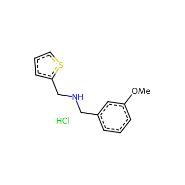 COc1cccc(CNCc2cccs2)c1.Cl